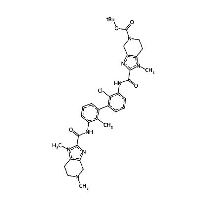 Cc1c(NC(=O)c2nc3c(n2C)CCN(C)C3)cccc1-c1cccc(NC(=O)c2nc3c(n2C)CCN(C(=O)OC(C)(C)C)C3)c1Cl